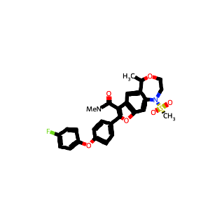 CNC(=O)c1c(-c2ccc(Oc3ccc(F)cc3)cc2)oc2cc3c(cc12)C(C)OCCN3S(C)(=O)=O